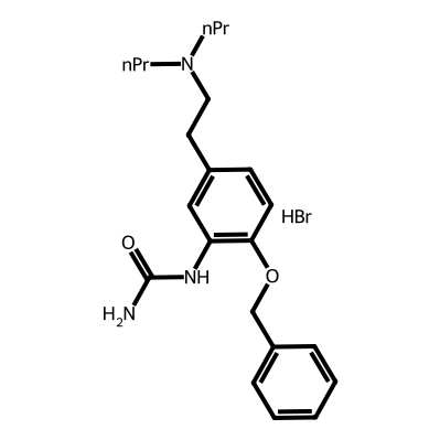 Br.CCCN(CCC)CCc1ccc(OCc2ccccc2)c(NC(N)=O)c1